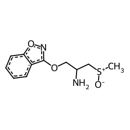 C[S+]([O-])CC(N)COc1noc2ccccc12